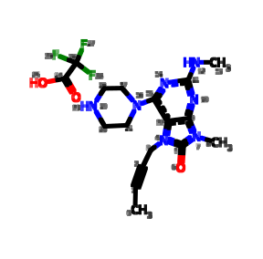 CC#CCn1c(=O)n(C)c2nc(NC)nc(N3CCNCC3)c21.O=C(O)C(F)(F)F